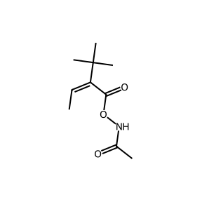 CC=C(C(=O)ONC(C)=O)C(C)(C)C